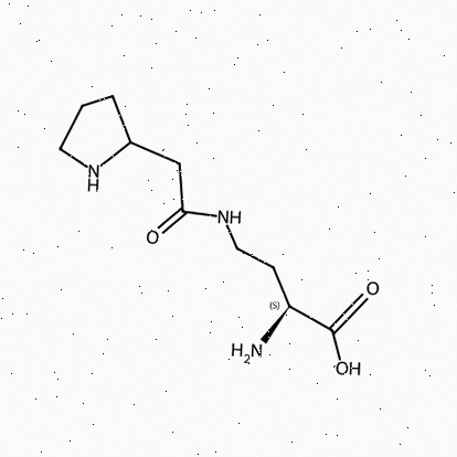 N[C@@H](CCNC(=O)CC1CCCN1)C(=O)O